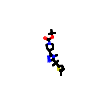 Cc1ccc(C(C)(C)c2nnc(C3CCN(C(=O)OC(C)(C)C)CC3)n2C)s1